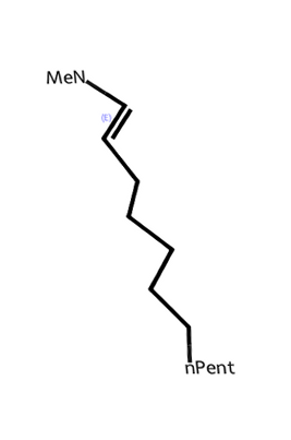 CCCCCCCCCC/C=C/NC